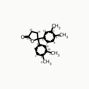 Cc1ccc(C2(c3ccc(C)c(C)c3)CCC(=O)O2)cc1C